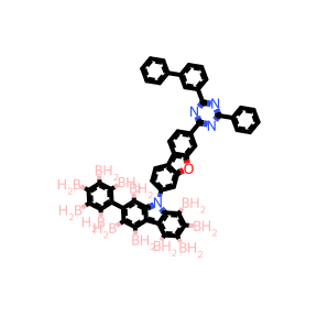 Bc1c(B)c(B)c(-c2c(B)c(B)c3c4c(B)c(B)c(B)c(B)c4n(-c4ccc5c(c4)oc4cc(-c6nc(-c7ccccc7)nc(-c7cccc(-c8ccccc8)c7)n6)ccc45)c3c2B)c(B)c1B